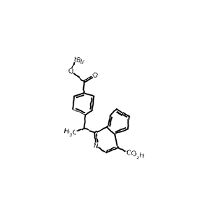 CC(c1ccc(C(=O)OC(C)(C)C)cc1)c1ncc(C(=O)O)c2ccccc12